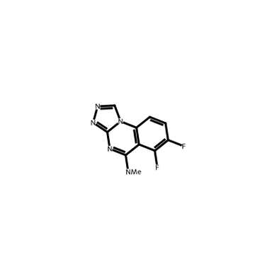 CNc1nc2nncn2c2ccc(F)c(F)c12